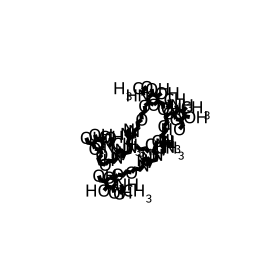 CC(=O)NC1C(OCCOCCn2nnc(CN(Cc3cn(CCOCCOC4OC(CO)C(O)C(O)C4NC(C)=O)nn3)[C@H](CCCCN(Cc3cn(CCOCCOC4OC(CO)C(O)C(O)C4NC(C)=O)nn3)Cc3cn(CCOCCOC4OC(CO)C(O)C(O)C4NC(C)=O)nn3)C(C)(C)C)n2)OC(CO)C(O)C1C